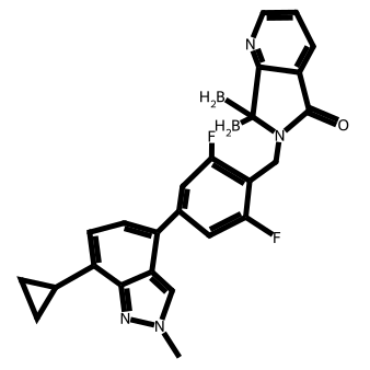 BC1(B)c2ncccc2C(=O)N1Cc1c(F)cc(-c2ccc(C3CC3)c3nn(C)cc23)cc1F